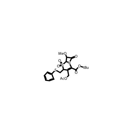 COC1C(=O)N2C(C(=O)OC(C)(C)C)=C(COC(C)=O)C(CSc3ccccc3)S(=O)(=O)C12